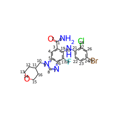 NC(=O)c1cc2c(ncn2CC2CCOCC2)c(F)c1Nc1ccc(Br)cc1Cl